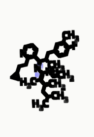 C=CNC(/N=C(/c1cccnc1CCC1CC1)C(C)Cc1ccc(F)c(C)c1)=C(/C)C(=C)CC(C)C